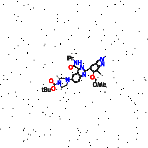 COCOc1c(-c2nc(C(=O)NC(C)C)c3cc(N4C[C@@H](C)N(C(=O)OC(C)(C)C)[C@@H](C)C4)ccc3n2)cc2cn(C)nc2c1C